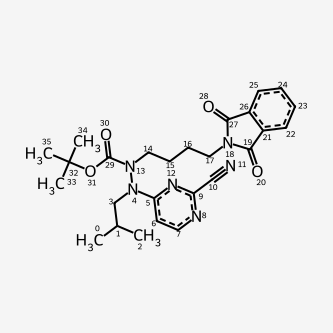 CC(C)CN(c1ccnc(C#N)n1)N(CCCCN1C(=O)c2ccccc2C1=O)C(=O)OC(C)(C)C